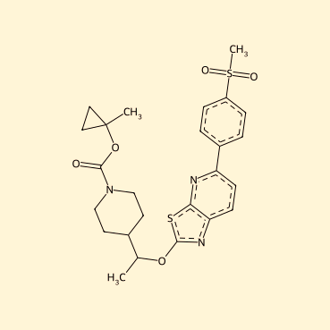 CC(Oc1nc2ccc(-c3ccc(S(C)(=O)=O)cc3)nc2s1)C1CCN(C(=O)OC2(C)CC2)CC1